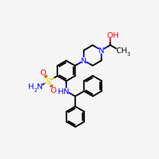 CC(O)N1CCN(c2ccc(S(N)(=O)=O)c(NC(c3ccccc3)c3ccccc3)c2)CC1